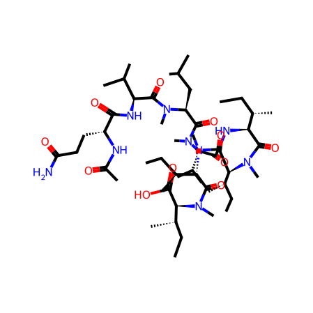 CC[C@H](C)[C@H](NC(=O)[C@H](C(C)C)N(C)C(=O)[C@H](CC(C)C)N(C)C(=O)[C@@H](NC(=O)[C@@H](CCC(N)=O)NC(C)=O)C(C)C)C(=O)N(C)[C@H](C(=O)N(C)[C@H](C(=O)N(C)[C@H](C(=O)O)[C@@H](C)CC)[C@@H](C)CC)[C@@H](C)CC